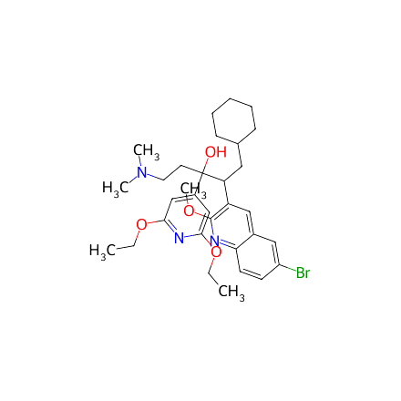 CCOc1cc(C(O)(CCN(C)C)C(CC2CCCCC2)c2cc3cc(Br)ccc3nc2OC)cc(OCC)n1